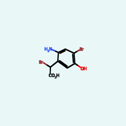 Nc1cc(Br)c(O)cc1C(Br)C(=O)O